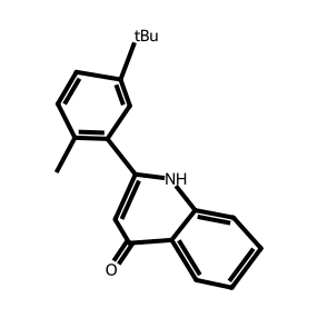 Cc1ccc(C(C)(C)C)cc1-c1cc(=O)c2ccccc2[nH]1